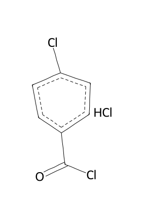 Cl.O=C(Cl)c1ccc(Cl)cc1